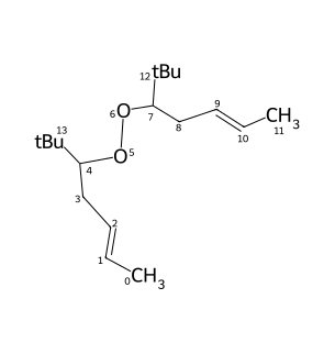 C/C=C/CC(OOC(C/C=C/C)C(C)(C)C)C(C)(C)C